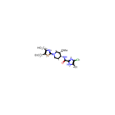 CCOC(=O)c1sc(N2CC[C@@H](NC(=O)c3nc(Cl)c(CC)[nH]3)[C@@H](OC)C2)nc1C(=O)O